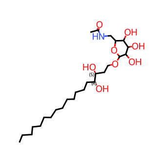 CCCCCCCCCCCCCC[C@@H](O)[C@@H](O)CCOC1OC(CNC(C)=O)C(O)C(O)C1O